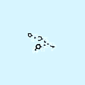 O=C(NC1CCCC1)N1CCC(Nc2nc(Nc3cccc(C(F)(F)F)c3)nc(OCC(F)(F)F)n2)CC1